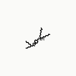 CCCCCCCC(CCCCCCC)NCC1CCC2(CC1)CN(CC(CCCC)CCCCC)C2